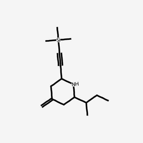 C=C1CC(C#C[Si](C)(C)C)NC(C(C)CC)C1